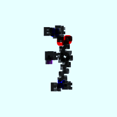 CCI.CCI.CCN(CC)CCCCCCc1ccc(CCC(=O)OCCN(CC)CC)cc1